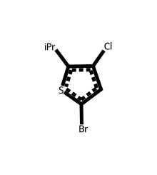 CC(C)c1sc(Br)cc1Cl